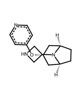 c1cc(O[C@@H]2C[C@H]3CC[C@@H](C2)N3C2CNC2)ccn1